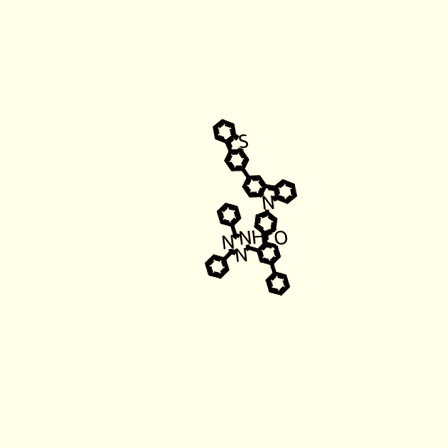 c1ccc(C2=NC(c3cc(-c4ccccc4)cc4oc5cc(-n6c7ccccc7c7cc(-c8ccc9c(c8)sc8ccccc89)ccc76)ccc5c34)NC(c3ccccc3)=N2)cc1